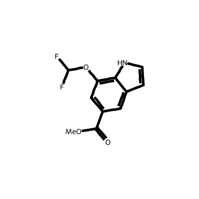 COC(=O)c1cc(OC(F)F)c2[nH]ccc2c1